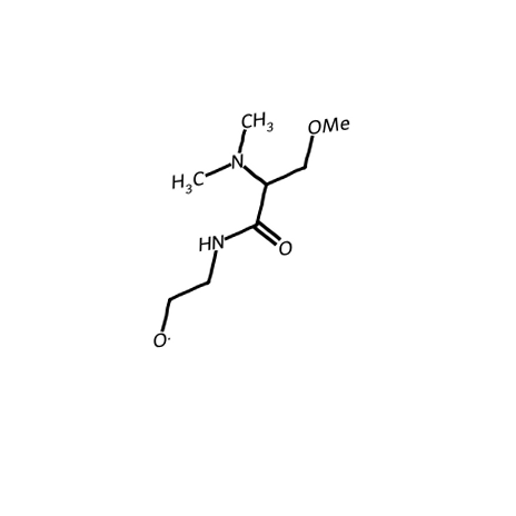 COCC(C(=O)NCC[O])N(C)C